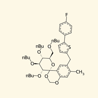 CCCCOC[C@H]1O[C@]2(OCOc3cc(C)c(Cc4ccc(-c5ccc(F)cc5)s4)cc32)[C@H](OCCCC)[C@@H](OCCCC)[C@@H]1OCCCC